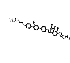 CCCCCc1ccc(-c2ccc(-c3ccc(/C=C/c4ccc(OCC)c(F)c4C(F)(F)F)cc3)cc2F)cc1